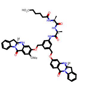 COc1cc2c(cc1OCc1cc(COc3ccc4c(c3)N[C@H]3Cc5ccccc5N3C4=O)cc(NC(=O)[C@H](C)NC(=O)[C@H](C)NC(=O)CCCCC(=O)O)c1)N[C@@H]1Cc3ccccc3N1C2=O